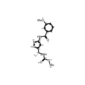 COc1cccc(C(=O)Nc2cc([C@@H](C)NC(=O)OC(C)(C)C)on2)c1